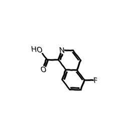 O=C(O)c1nccc2c(F)cccc12